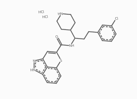 Cl.Cl.O=C(NC(CCc1cccc(Cl)c1)C1CCNCC1)C1=Cc2n[nH]c3cccc(c23)S1